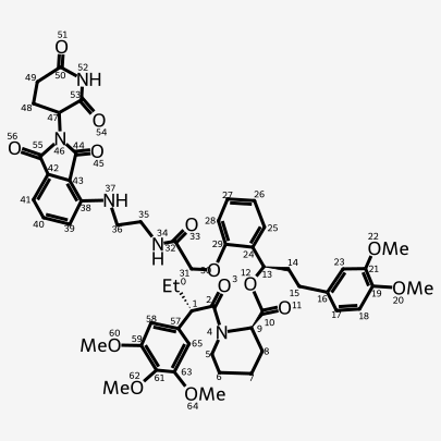 CC[C@H](C(=O)N1CCCC[C@@H]1C(=O)O[C@H](CCc1ccc(OC)c(OC)c1)c1ccccc1OCC(=O)NCCNc1cccc2c1C(=O)N(C1CCC(=O)NC1=O)C2=O)c1cc(OC)c(OC)c(OC)c1